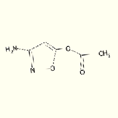 CC(=O)Oc1cc(N)no1